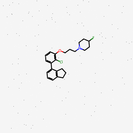 FC1CCN(CCCOc2cccc(-c3cccc4c3CCC4)c2Cl)CC1